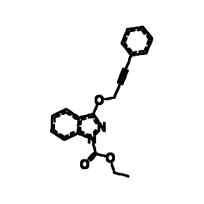 CCOC(=O)n1nc(OCC#Cc2ccccc2)c2ccccc21